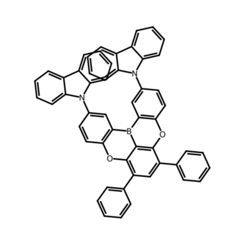 c1ccc(-c2cc(-c3ccccc3)c3c4c2Oc2ccc(-n5c6ccccc6c6ccccc65)cc2B4c2cc(-n4c5ccccc5c5ccccc54)ccc2O3)cc1